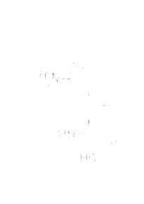 CN[C@@H](CSc1c(N)cccc1Br)C(=O)O